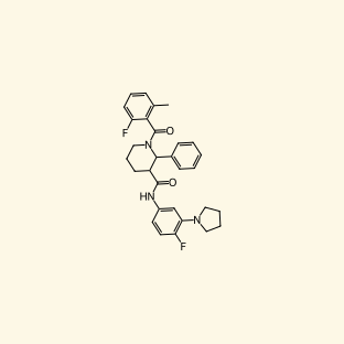 Cc1cccc(F)c1C(=O)N1CCCC(C(=O)Nc2ccc(F)c(N3CCCC3)c2)C1c1ccccc1